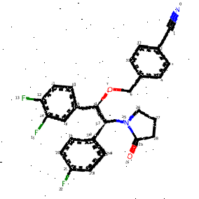 N#Cc1ccc(CO[C@H](c2ccc(F)c(F)c2)[C@H](c2ccc(F)cc2)N2CCCC2=O)cc1